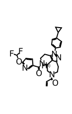 C=CC(=O)N1CCc2nn(-c3ccc(C4CC4)cc3)c3c2[C@H](C1)N(C(=O)c1ccc(OC(F)F)nc1)CC3